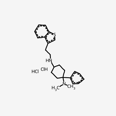 CN(C)C1(c2ccccc2)CCC(NCCc2csc3ccccc23)CC1.Cl.Cl